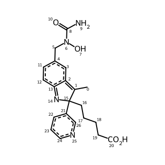 CC1=c2cc(CN(O)C(N)=O)ccc2=NC1(CCCCC(=O)O)c1cccnc1